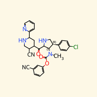 CN(C(=O)Oc1cccc(C#N)c1)[C@@H]1C(C(=O)C2CC(c3ccccn3)NCC2C#N)NC[C@H]1c1ccc(Cl)cc1